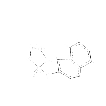 CCCOP(=O)(OCCC)Oc1ccc2ccccc2c1